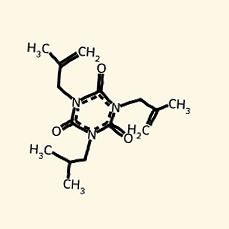 C=C(C)Cn1c(=O)n(CC(=C)C)c(=O)n(CC(C)C)c1=O